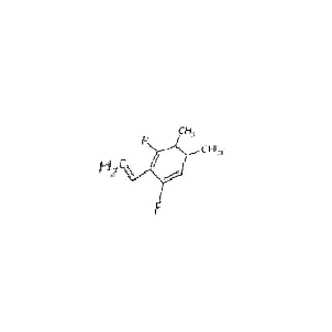 C=CC1=C(F)C(C)C(C)C=C1F